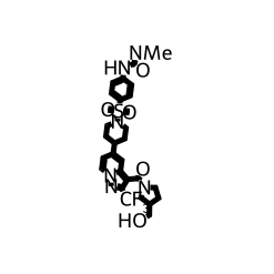 CNC(=O)Nc1ccc(S(=O)(=O)N2CCC(c3ccn4nc(C(F)(F)F)c(C(=O)N5CCC(CO)C5)c4c3)CC2)cc1